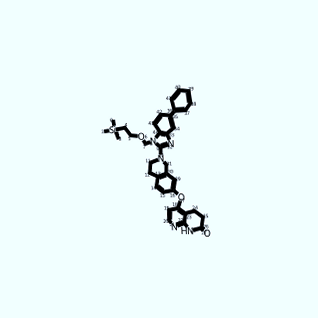 C[Si](C)(C)CCOCn1c(N2CCc3ccc(Oc4ccnc5c4CCC(=O)N5)cc3C2)nc2cc(-c3ccccc3)ccc21